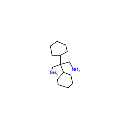 NCC(CN)(C1CCCCC1)C1CCCCC1